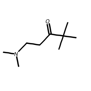 CN(C)CCC(=O)C(C)(C)C